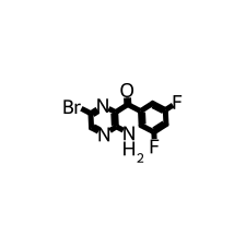 Nc1ncc(Br)nc1C(=O)c1cc(F)cc(F)c1